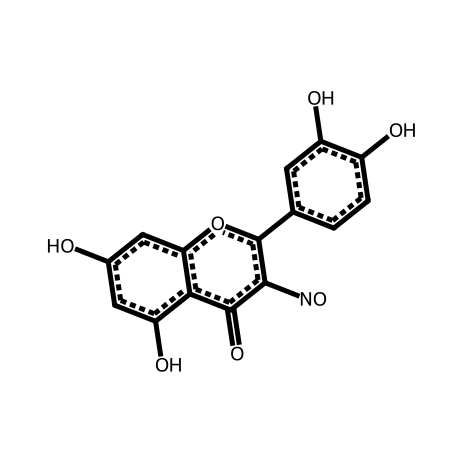 O=Nc1c(-c2ccc(O)c(O)c2)oc2cc(O)cc(O)c2c1=O